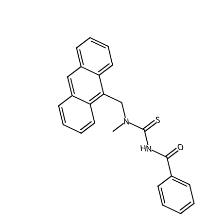 CN(Cc1c2ccccc2cc2ccccc12)C(=S)NC(=O)c1ccccc1